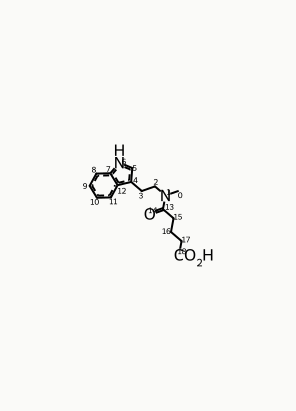 CN(CCc1c[nH]c2ccccc12)C(=O)CCCC(=O)O